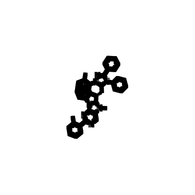 Cc1ccccc1-c1ncc2c(n1)N1c3ccccc3[C@H](CC3N(c4ccccc4C)N=C(c4ccccc4)N3c3ccccc3)C1N2C